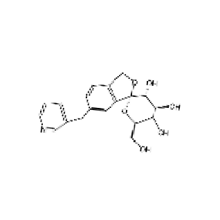 OC[C@H]1O[C@]2(OCc3ccc(Cc4cccnc4)cc32)[C@H](O)[C@@H](O)C1O